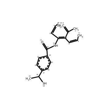 C=C(C)C(/C=C\C)=C(\C=C/C)NC(=O)c1ccc(C(C)S)cc1